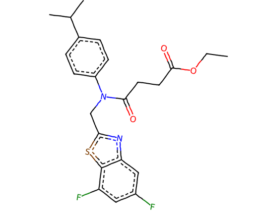 CCOC(=O)CCC(=O)N(Cc1nc2cc(F)cc(F)c2s1)c1ccc(C(C)C)cc1